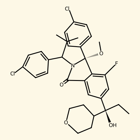 CC[C@@](O)(c1cc(F)c2c(c1)C(=O)N(C(c1ccc(Cl)cc1)C(C)C)[C@@]2(OC)c1ccc(Cl)cc1)C1CCOCC1